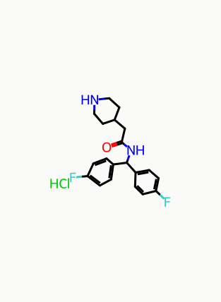 Cl.O=C(CC1CCNCC1)NC(c1ccc(F)cc1)c1ccc(F)cc1